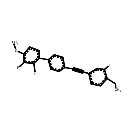 CCc1ccc(C#Cc2ccc(-c3ccc(OC)c(F)c3F)cc2)cc1F